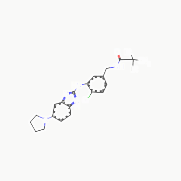 CCC(C)(CC)C(=O)NCc1ccc(Cl)c(Nc2nc3cc(N4CCCC4)ccc3[nH]2)c1